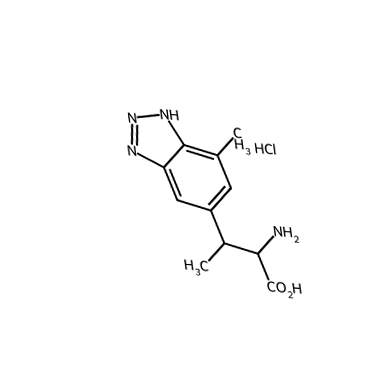 Cc1cc(C(C)C(N)C(=O)O)cc2nn[nH]c12.Cl